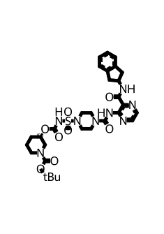 CC(C)(C)OC(=O)N1CCC[C@@H](OC(=O)NS(=O)(=O)N2CCN(C(=O)Nc3nccnc3C(=O)NC3Cc4ccccc4C3)CC2)C1